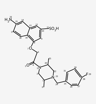 CC1CN(C(=O)COc2cc(S(=O)(=O)O)cc3cc(N)ccc23)C(C)CN1Cc1ccc(F)cc1